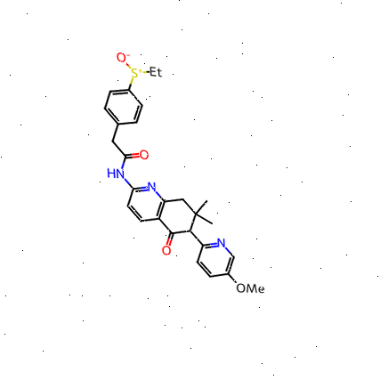 CC[S+]([O-])c1ccc(CC(=O)Nc2ccc3c(n2)CC(C)(C)C(c2ccc(OC)cn2)C3=O)cc1